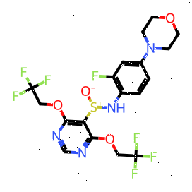 [O-][S+](Nc1ccc(N2CCOCC2)cc1F)c1c(OCC(F)(F)F)ncnc1OCC(F)(F)F